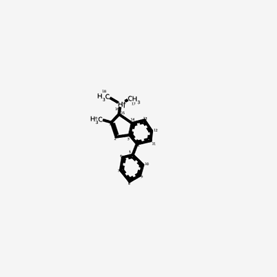 CC1=Cc2c(-c3ccccc3)cccc2[CH]1[Hf]([CH3])[CH3]